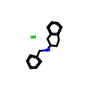 Cl.c1ccc(CNC2CCc3ccccc3C2)cc1